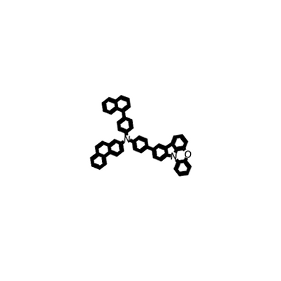 c1ccc2c(c1)Oc1cccc3c4cc(-c5ccc(N(c6ccc(-c7cccc8ccccc78)cc6)c6ccc7c(ccc8ccccc87)c6)cc5)ccc4n-2c13